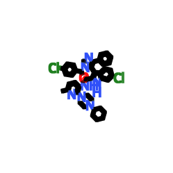 Cc1ccc(NC(=O)c2[nH]c3cc(Cl)ccc3c2-c2c(-c3ccccc3)ncn2C(C)c2ccc(Cl)cc2)c(N2CCN(C3CCCCC3)CC2)n1